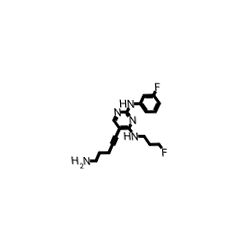 NCCCC#Cc1cnc(Nc2cccc(F)c2)nc1NCCCF